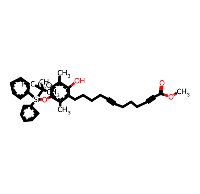 COC(=O)C#CCCCC#CCCCCc1c(C)c(O[Si](c2ccccc2)(c2ccccc2)C(C)(C)C)c(C)c(C)c1O